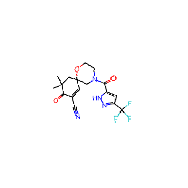 CC1(C)CC2(C=C(C#N)C1=O)CN(C(=O)c1cc(C(F)(F)F)n[nH]1)CCO2